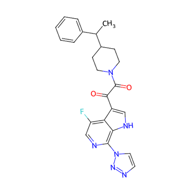 CC(c1ccccc1)C1CCN(C(=O)C(=O)c2c[nH]c3c(-n4ccnn4)ncc(F)c23)CC1